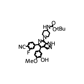 COc1ccc(-c2c(-c3ccc(C#N)c(F)c3)nc(N3CCC(NC(=O)OC(C)(C)C)CC3)c3[nH]ncc23)cc1O